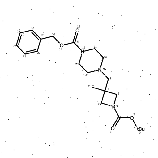 CC(C)(C)OC(=O)N1CC(F)(CN2CCN(C(=O)OCc3ccccc3)CC2)C1